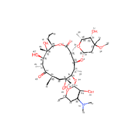 CC[C@H]1OC(=O)[C@H](C)[C@@H](O[C@H]2CC(C)(OC)[C@@H](O)[C@@H](C)O2)[C@H](C)[C@@H](O[C@@H]2OC(C)CC(N(C)C)C2O)[C@](C)(O)C[C@@H](C)C(=O)[C@H](C)[C@@H](O)[C@]1(C)O